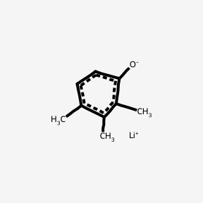 Cc1ccc([O-])c(C)c1C.[Li+]